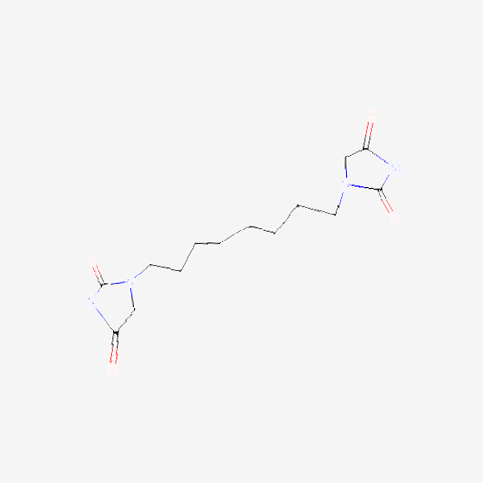 O=C1CN(CCCCCCCCN2CC(=O)NC2=O)C(=O)N1